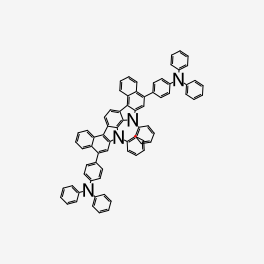 c1ccc(N(c2ccccc2)c2ccc(-c3cc4c(c5ccccc35)c3ccc5c6c7ccccc7c(-c7ccc(N(c8ccccc8)c8ccccc8)cc7)cc6n(-c6ccccc6)c5c3n4-c3ccccc3)cc2)cc1